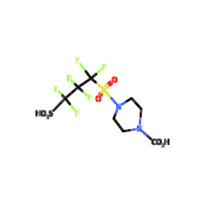 O=C(O)N1CCN(S(=O)(=O)C(F)(F)C(F)(F)C(F)(F)S(=O)(=O)O)CC1